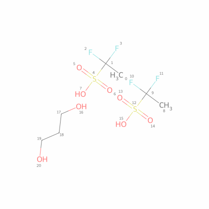 CC(F)(F)S(=O)(=O)O.CC(F)(F)S(=O)(=O)O.OCCCO